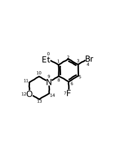 CCc1cc(Br)cc(F)c1N1CCOCC1